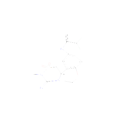 C=C(Nc1ccc2c(c1)[C@]1(CCO2)CS(=O)(=O)N(C)C(=N)N1)C(F)F